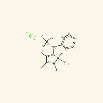 CC1=C(C)C(C)([SiH3])[C]([Ti+3]([c]2ccccc2)[C](C)(C)C)=C1C.[Cl-].[Cl-].[Cl-]